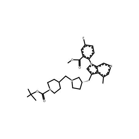 COC(=O)c1cc(F)ccc1-n1cc(C[C@@H]2CCN(CC3CCN(C(=O)OC(C)(C)C)CC3)C2)c2c(C)cncc21